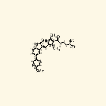 CCN(CC)CCNC(=O)c1c(C)[nH]c(/C=C2\C(=O)Nc3ccc(-c4cnc(SC)cn4)cc32)c1C